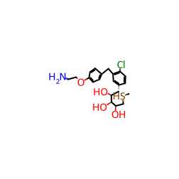 C[SH]1C[C@@H](O)[C@@H](O)[C@@H](O)[C@@H]1c1ccc(Cl)c(Cc2ccc(OCCN)cc2)c1